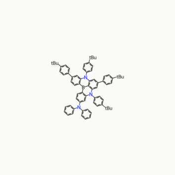 CC(C)(C)c1ccc(-c2ccc3c(c2)N(c2ccc(C(C)(C)C)cc2)c2cc(-c4ccc(C(C)(C)C)cc4)cc4c2B3c2ccc(N(c3ccccc3)c3ccccc3)cc2N4c2ccc(C(C)(C)C)cc2)cc1